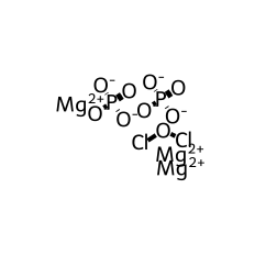 ClOCl.O=P([O-])([O-])[O-].O=P([O-])([O-])[O-].[Mg+2].[Mg+2].[Mg+2]